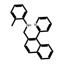 Cc1ccccc1NCc1ccc2ccccc2c1-c1ccc[c]n1